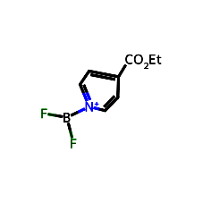 CCOC(=O)c1cc[n+](B(F)F)cc1